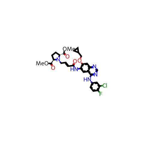 COC(=O)[C@H]1CC[C@H](C(=O)OC)N1CC=CC(=O)Nc1cc2c(Nc3ccc(F)c(Cl)c3)ncnc2cc1OCC1CC1